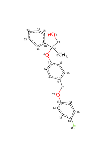 CC(CO)(Oc1ccc(COc2ccc(F)cc2)cc1)c1ccccc1